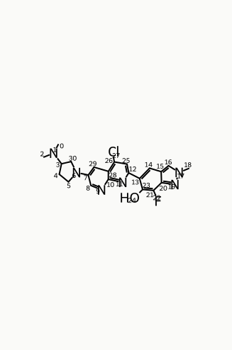 CN(C)C1CCN(c2cnc3nc(-c4cc5cn(C)nc5c(F)c4O)cc(Cl)c3c2)C1